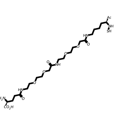 CC(=O)[C@H](CCCCNC(=O)COCCOCCNC(=O)COCCOCCNC(=O)CC[C@H](N)C(=O)O)NS